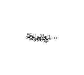 CC(NC(=O)c1ncnc(NCC(=O)O)c1Cl)c1ncc(C(=O)Nc2cc(C(F)(F)F)c(Cl)cn2)s1